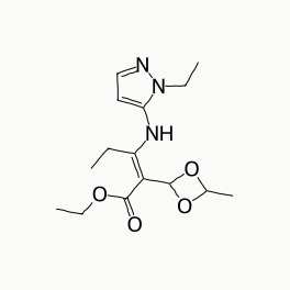 CCOC(=O)/C(=C(\CC)Nc1ccnn1CC)C1OC(C)O1